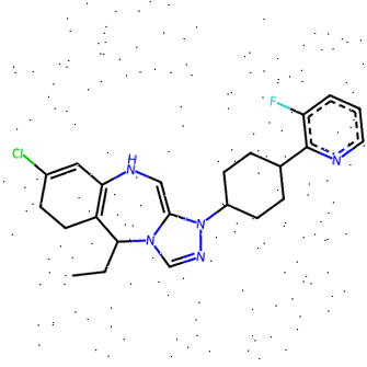 CCC1C2=C(C=C(Cl)CC2)NC=C2N1C=NN2C1CCC(c2ncccc2F)CC1